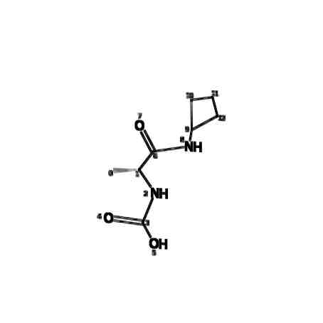 C[C@@H](NC(=O)O)C(=O)NC1CCC1